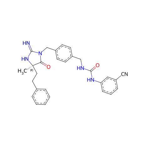 C[C@]1(CCc2ccccc2)NC(=N)N(Cc2ccc(CNC(=O)Nc3cccc(C#N)c3)cc2)C1=O